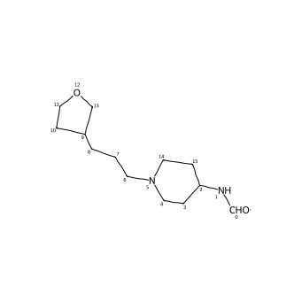 O=[C]NC1CCN(CCCC2CCOC2)CC1